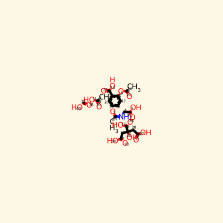 CC(=O)NCC(=O)O.CC(=O)O.CC(=O)Oc1ccccc1C(=O)O.O=C(O)CC(O)(CC(=O)O)C(=O)O.O=CO